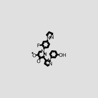 COc1cn(-c2ccc(-n3cccn3)cc2F)nc(-c2ccnn2-c2cccc(O)c2)c1=O